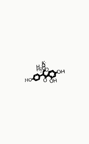 O.O.O=c1c(-c2ccc(O)cc2)coc2cc(O)cc(O)c12.[K]